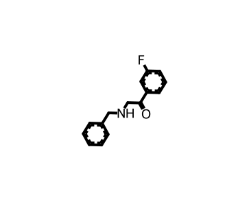 O=C(CNCc1ccccc1)c1cccc(F)c1